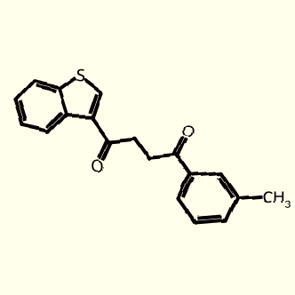 Cc1cccc(C(=O)CCC(=O)c2csc3ccccc23)c1